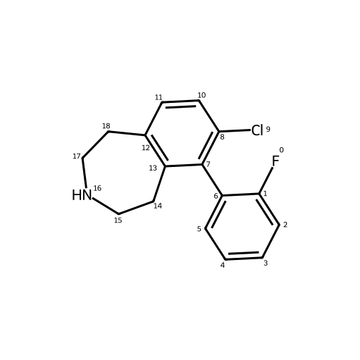 Fc1ccccc1-c1c(Cl)ccc2c1CCNCC2